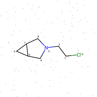 ClCCN1CC2CC2C1